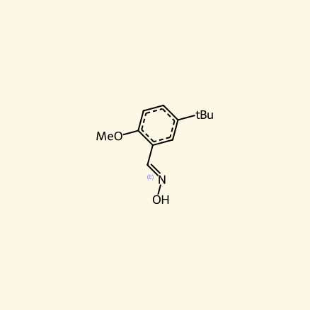 COc1ccc(C(C)(C)C)cc1/C=N/O